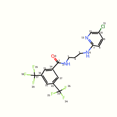 O=C(NCCCNc1ccc(Cl)cn1)c1cc(C(F)(F)F)cc(C(F)(F)F)c1